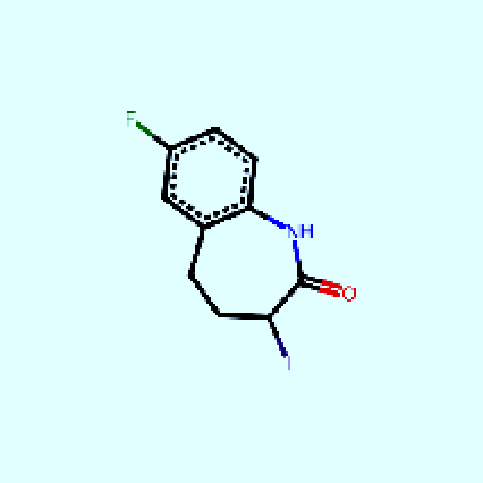 O=C1Nc2ccc(F)cc2CCC1I